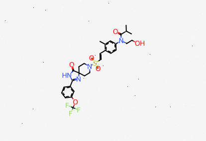 Cc1cc(N(CCO)C(=O)C(C)C)ccc1C=CS(=O)(=O)N1CCC2(CC1)N=C(c1cccc(OC(F)(F)F)c1)NC2=O